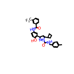 Cc1ccc(CNC(=O)n2nc(-c3cc(NC(=O)c4cccc(C(F)(F)F)c4)ccc3O)cc2C2CCC2)cc1